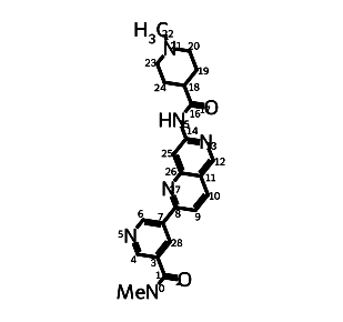 CNC(=O)c1cncc(-c2ccc3cnc(NC(=O)C4CCN(C)CC4)cc3n2)c1